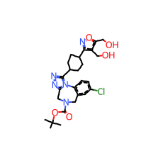 CC(C)(C)OC(=O)N1Cc2cc(Cl)ccc2-n2c(nnc2C2CCC(c3noc(CO)c3CO)CC2)C1